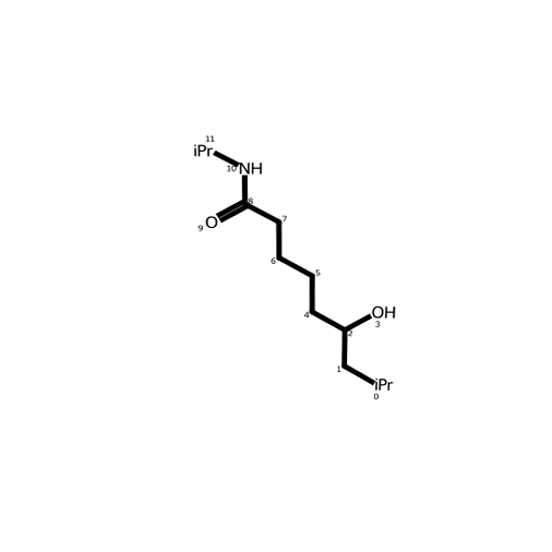 CC(C)CC(O)CCCCC(=O)NC(C)C